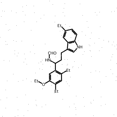 CCOc1cc(C(CCc2c[nH]c3ccc(CC)cc23)NC=O)c(CC)cc1CC